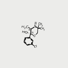 C[C@H]1NC(C)(C)CO[C@@]1(O)c1cccc(Cl)c1